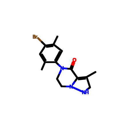 CC1=C2C(=O)N(c3cc(C)c(Br)cc3C)CCN2NC1